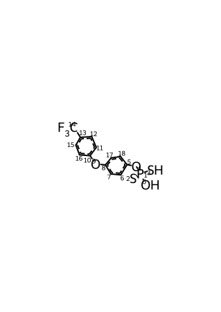 OP(=S)(S)Oc1ccc(Oc2ccc(C(F)(F)F)cc2)cc1